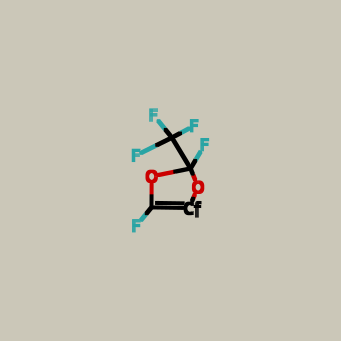 F[C]1=[Cf][O]C(F)(C(F)(F)F)O1